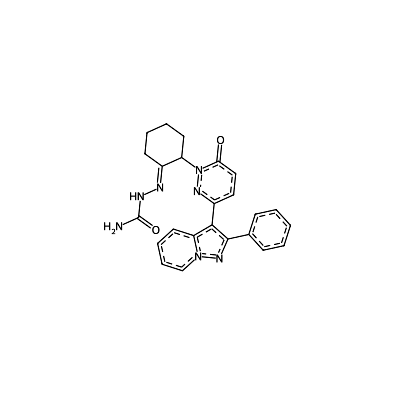 NC(=O)NN=C1CCCCC1n1nc(-c2c(-c3ccccc3)nn3ccccc23)ccc1=O